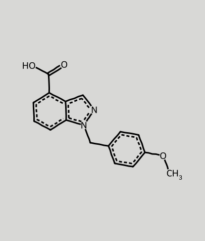 COc1ccc(Cn2ncc3c(C(=O)O)cccc32)cc1